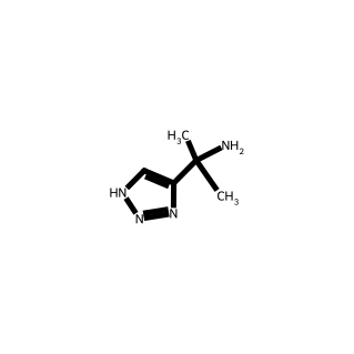 CC(C)(N)c1c[nH]nn1